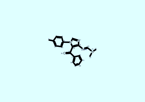 Cc1ccc(-n2cnc(/N=C/N(C)C)c2C(=O)c2ccccc2)cc1